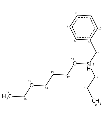 CCC[SiH](Cc1ccccc1)OCCCOCC